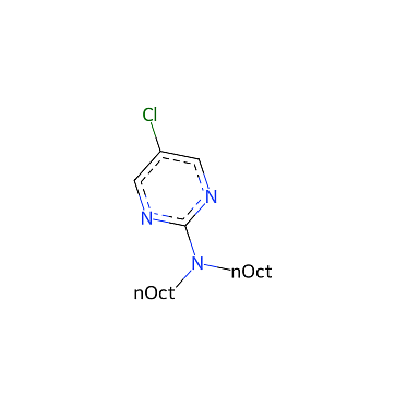 CCCCCCCCN(CCCCCCCC)c1ncc(Cl)cn1